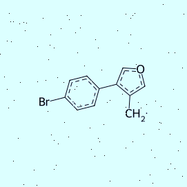 [CH2]c1cocc1-c1ccc(Br)cc1